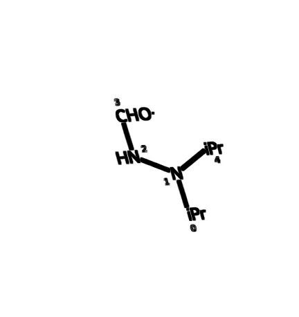 CC(C)N(N[C]=O)C(C)C